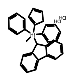 Cl.Cl.[CH3][Hf]([C]1=CC=CC1)([c]1ccccc1)([c]1ccccc1)[CH]1c2ccccc2-c2ccccc21